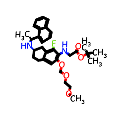 COCCOCOc1cc2c(c(F)c1NCC(=O)OC(C)(C)C)C[C@H](N[C@@H](C)c1cccc3ccccc13)CC2